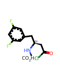 O=C(Cl)C[C@H](Cc1cc(F)cc(F)c1)NC(=O)O